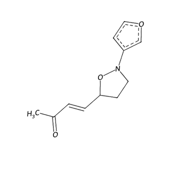 CC(=O)C=CC1CCN(c2ccoc2)O1